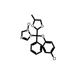 CC1COC(C(Oc2ccc(Cl)cc2)(c2ccccc2)N2C=NCN2Cl)O1